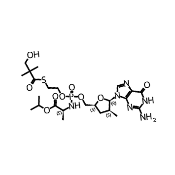 CC(C)OC(=O)[C@H](C)NP(=O)(OCCSC(=O)C(C)(C)CO)OC[C@@H]1C[C@H](C)[C@H](n2cnc3c(=O)[nH]c(N)nc32)O1